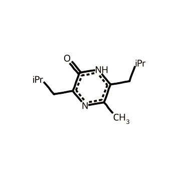 Cc1nc(CC(C)C)c(=O)[nH]c1CC(C)C